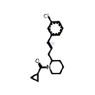 O=C(C1CC1)N1CCCCC1C/C=C/c1cccc(Cl)c1